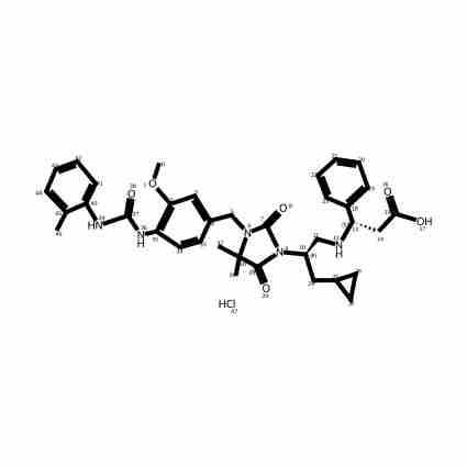 COc1cc(CN2C(=O)N([C@@H](CN[C@@H](CC(=O)O)c3ccccc3)CC3CC3)C(=O)C2(C)C)ccc1NC(=O)Nc1ccccc1C.Cl